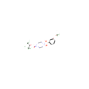 O=C(OC(C(F)(F)F)C(F)(F)F)N1CCN(S(=O)(=O)c2cccc(OC(F)(F)F)c2)CC1